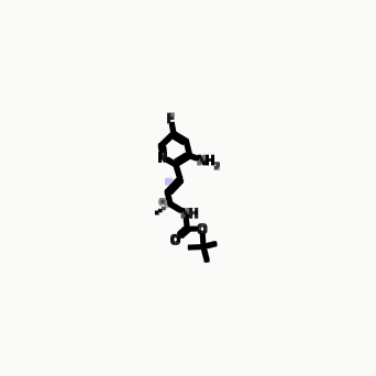 C[C@H](/C=C/c1ncc(F)cc1N)NC(=O)OC(C)(C)C